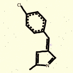 CC1=C/C(=C\c2ccc(Cl)cc2)C=N1